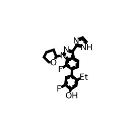 CCc1cc(O)c(F)cc1-c1ccc2c(-c3ncc[nH]3)nn(C3CCCCO3)c2c1F